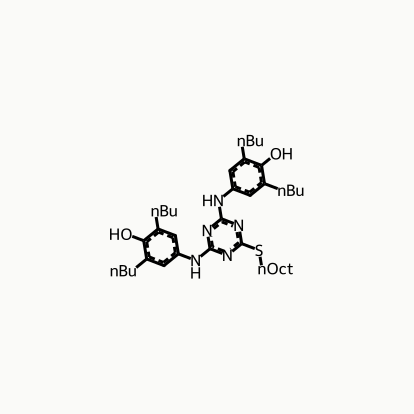 CCCCCCCCSc1nc(Nc2cc(CCCC)c(O)c(CCCC)c2)nc(Nc2cc(CCCC)c(O)c(CCCC)c2)n1